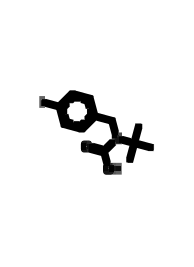 CC(C)(C)N(Cc1ccc(I)cc1)C(=O)O